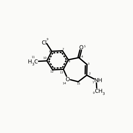 CNC1=CC(=O)c2cc(Cl)c(C)cc2OC1